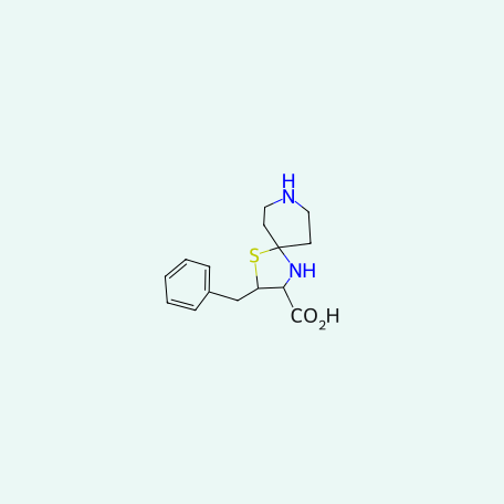 O=C(O)C1NC2(CCNCC2)SC1Cc1ccccc1